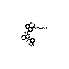 COCCCN1COCc2cccc3c(NC(=O)C4CCCCN4S(=O)(=O)c4cccc5nsnc45)ccc1c23